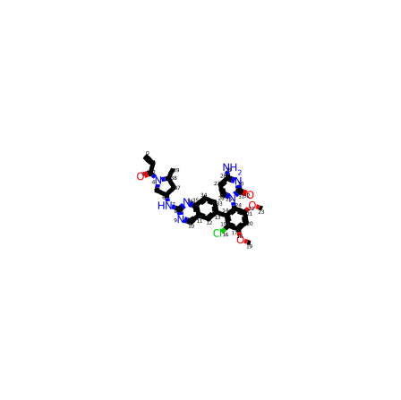 C=CC(=O)N1CC(Nc2ncc3cc(-c4c(Cl)c(OC)cc(OC)c4-n4ccc(N)nc4=O)ccc3n2)CC1C